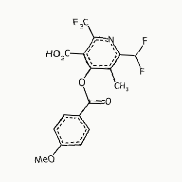 COc1ccc(C(=O)Oc2c(C)c(C(F)F)nc(C(F)(F)F)c2C(=O)O)cc1